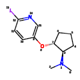 CN(C)[C@@H]1CCC[C@H]1Oc1ccc(I)nc1